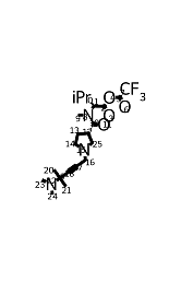 CC(C)[C@@H](C(=O)OC(=O)C(F)(F)F)N(C)C(=O)[C@H]1CCN(CC#CC(C)(C)N(C)C)C1